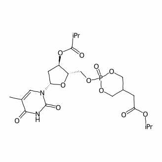 Cc1cn([C@@H]2C[C@@H](OC(=O)C(C)C)[C@H](COP3(=O)OCC(CC(=O)OC(C)C)CO3)O2)c(=O)[nH]c1=O